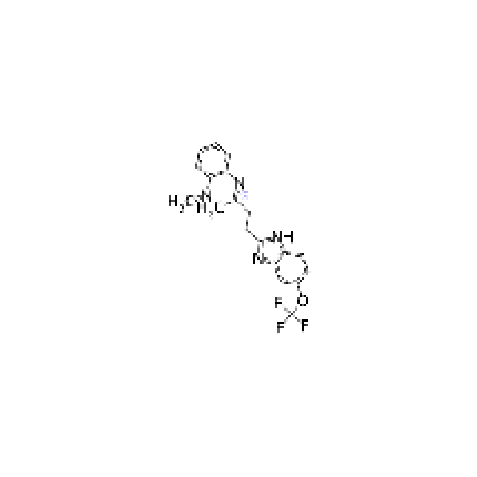 C=Nc1ccccc1/N=C(\C)CCc1nc2cc(OC(F)(F)F)ccc2[nH]1